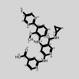 COc1c(Nc2cc(Nc3cc(C(=O)O)ccn3)ncc2C(=O)NC2CC2)cccc1-c1ncc(F)cn1